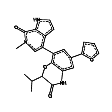 CC(C)C1Oc2c(cc(-c3ccco3)cc2-c2cn(C)c(=O)c3[nH]ccc23)NC1=O